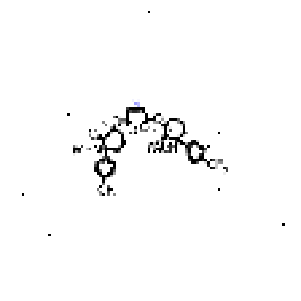 CN[C@@]1(c2ccc(C(F)(F)F)cc2)CCC[C@](C)(OC(=O)/C=C\C(=O)O[C@@]2(C)CCC[C@@](NC)(c3ccc(C(F)(F)F)cc3)C2=O)C1=O